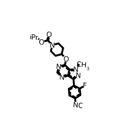 [C-]#[N+]c1ccc(-c2nn(C)c3c(OC4CCN(C(=O)OC(C)C)CC4)ncnc23)c(F)c1